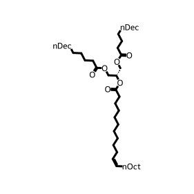 CCCCCCCC/C=C\CCCCCCCCCC(=O)O[C@@H](COC(=O)CCCCCCCCCCCCC)COC(=O)CCCCCCCCCCCCCC